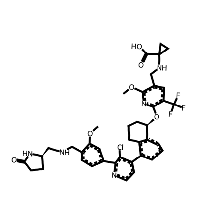 COc1cc(-c2nccc(-c3cccc4c3CCC[C@H]4Oc3nc(OC)c(CNC4(C(=O)O)CC4)cc3C(F)(F)F)c2Cl)ccc1CNC[C@H]1CCC(=O)N1